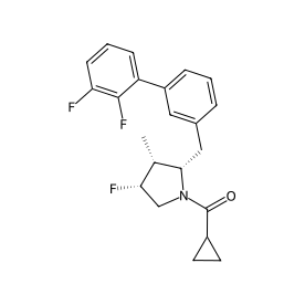 C[C@H]1[C@@H](F)CN(C(=O)C2CC2)[C@H]1Cc1cccc(-c2cccc(F)c2F)c1